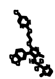 Cn1ccnc1S(=O)(=O)Nc1c(-c2ccc3c(c2)OCO3)c(OCCOc2ncc(Cl)cn2)nn1C